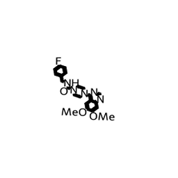 COc1cc2ncnc(N3CCN(C(=O)NCc4ccc(F)cc4)CC3)c2cc1OC